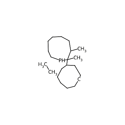 CC.CC1CCCCCCPC1(C)C1CCCCCCCC1